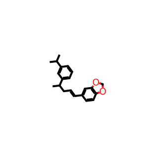 CC(C)c1cccc(C(C)CC=Cc2ccc3c(c2)OCO3)c1